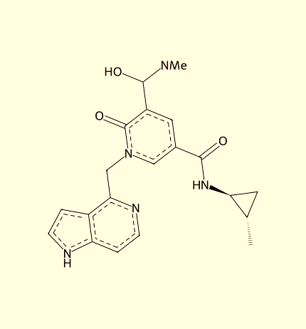 CNC(O)c1cc(C(=O)N[C@H]2C[C@@H]2C)cn(Cc2nccc3[nH]ccc23)c1=O